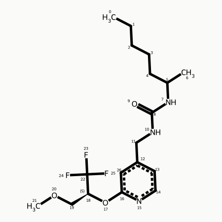 CCCCCC(C)NC(=O)NCc1ccnc(O[C@@H](COC)C(F)(F)F)c1